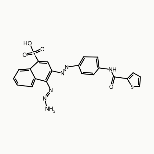 NN=Nc1c(/N=N/c2ccc(NC(=O)c3cccs3)cc2)cc(S(=O)(=O)O)c2ccccc12